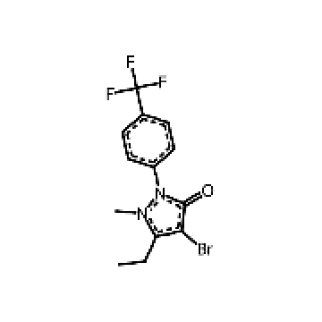 CCc1c(Br)c(=O)n(-c2ccc(C(F)(F)F)cc2)n1C